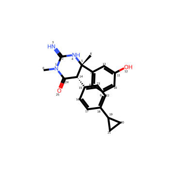 CN1C(=N)N[C@](C)(c2cccc(O)c2)[C@H](c2ccc(C3CC3)cc2)C1=O